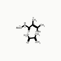 C=C(C)C(N)=O.CCCCC(C)=C(C)C(=O)NOC